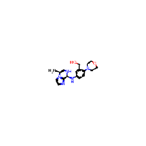 BC1=CNC(Nc2ccc(N3CCOCC3)c(CO)c2)c2nccn21